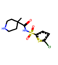 CC1(C(=O)NS(=O)(=O)c2ccc(Cl)s2)CCNCC1